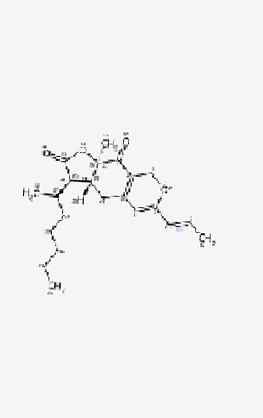 C/C=C/C1=CC2=C(CO1)C(=O)[C@]1(C)OC(=O)[C@H](C(C)CCCCC)[C@H]1C2